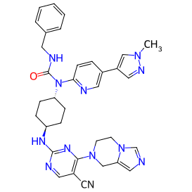 Cn1cc(-c2ccc(N(C(=O)NCc3ccccc3)[C@H]3CC[C@H](Nc4ncc(C#N)c(N5CCn6cncc6C5)n4)CC3)nc2)cn1